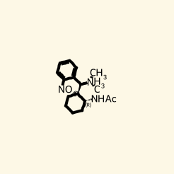 CC(=O)N[C@@H]1CCCC[C@H]1C(c1ccccc1[N+](=O)[O-])N(C)C